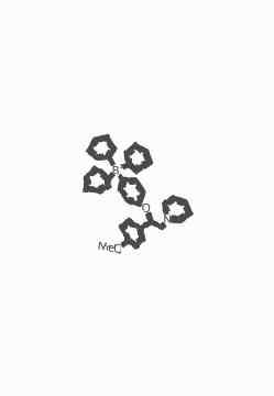 COc1ccc(C(=O)C[n+]2ccccc2)cc1.c1ccc([B-](c2ccccc2)(c2ccccc2)c2ccccc2)cc1